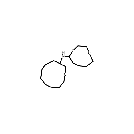 C1CCCCCC(NC2CCCCCCCC2)CCCC1